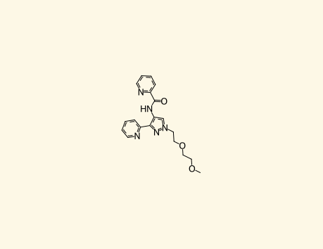 COCCOCCn1cc(NC(=O)c2ccccn2)c(-c2ccccn2)n1